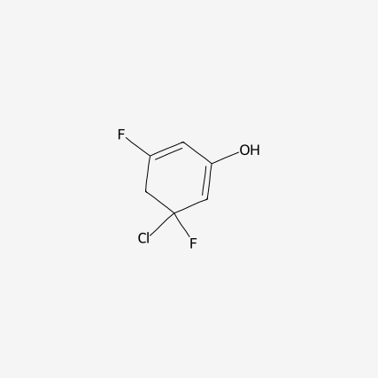 OC1=CC(F)(Cl)CC(F)=C1